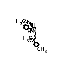 COC(CCCN1CC[C@H]2[C@@H](C1)c1cccc3c1N2CCN3C)c1ccc(C)cc1